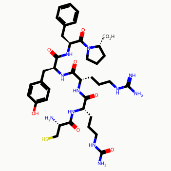 N=C(N)NCCC[C@H](NC(=O)[C@H](CCCNC(N)=O)NC(=O)[C@@H](N)CS)C(=O)N[C@@H](Cc1ccc(O)cc1)C(=O)N[C@@H](Cc1ccccc1)C(=O)N1CCC[C@H]1C(=O)O